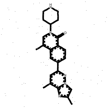 Cc1cn2nc(-c3ccc4c(=O)n(C5CCNCC5)cc(C)c4c3)cc(C)c2n1